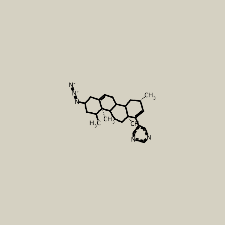 CC1CC(N=[N+]=[N-])CC2=CCC3C(CC[C@]4(C)C(c5cncnc5)=C[C@@H](C)CC34)[C@]21C